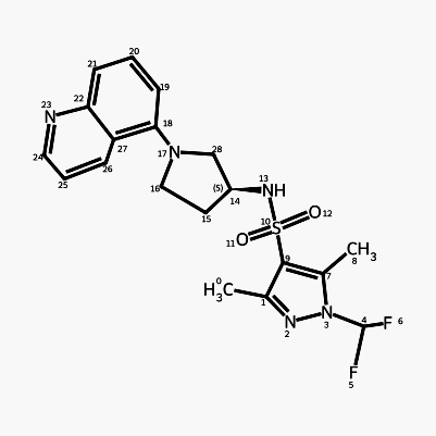 Cc1nn(C(F)F)c(C)c1S(=O)(=O)N[C@H]1CCN(c2cccc3ncccc23)C1